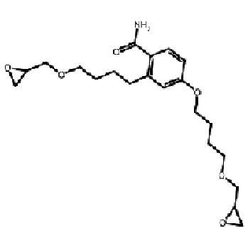 NC(=O)c1ccc(OCCCCOCC2CO2)cc1CCCCOCC1CO1